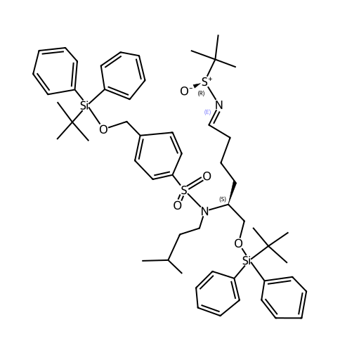 CC(C)CCN([C@@H](CCC/C=N/[S@@+]([O-])C(C)(C)C)CO[Si](c1ccccc1)(c1ccccc1)C(C)(C)C)S(=O)(=O)c1ccc(CO[Si](c2ccccc2)(c2ccccc2)C(C)(C)C)cc1